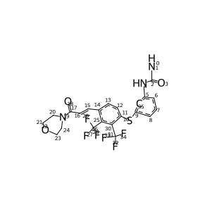 CNC(=O)Nc1cccc(Sc2ccc(/C=C/C(=O)N3CCOCC3)c(C(F)(F)F)c2C(F)(F)F)c1